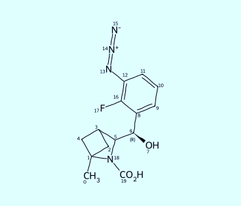 CC12CC(C1)C([C@H](O)c1cccc(N=[N+]=[N-])c1F)N2C(=O)O